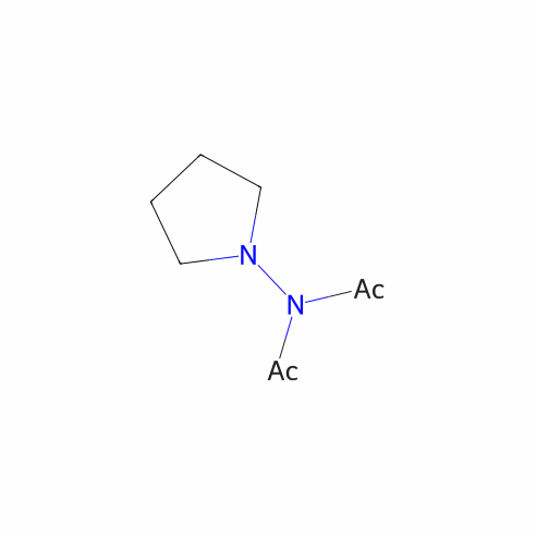 CC(=O)N(C(C)=O)N1CCCC1